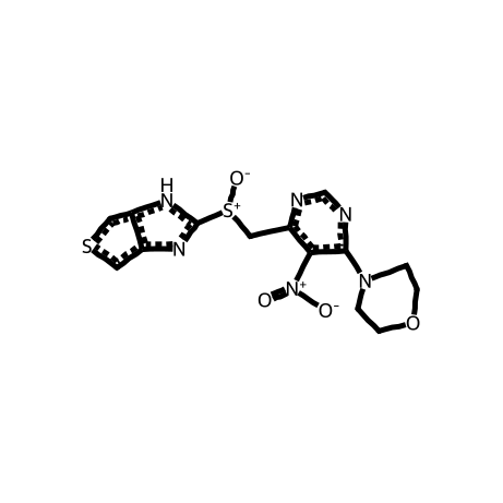 O=[N+]([O-])c1c(C[S+]([O-])c2nc3cscc3[nH]2)ncnc1N1CCOCC1